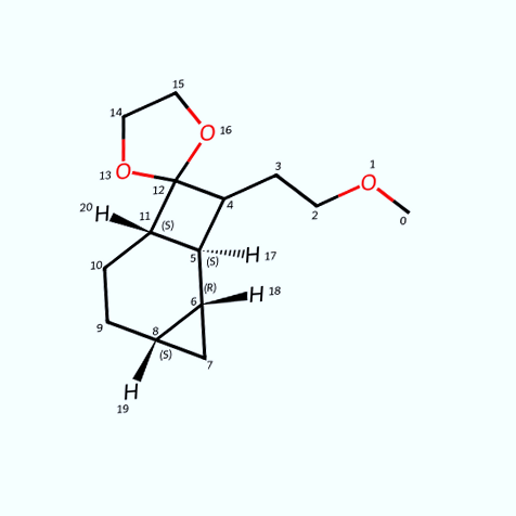 COCCC1[C@H]2[C@@H]3C[C@@H]3CC[C@@H]2C12OCCO2